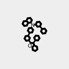 c1ccc(-c2cccc(N(c3ccc(-c4cccc(-c5oc6ccccc6c5-c5ccccc5)c4)cc3)c3cccc4ccccc34)c2)cc1